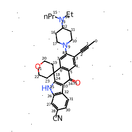 CC#Cc1cc2c(cc1N1CCC(N(CC)CCC)CC1)C1(CCOCC1)c1[nH]c3cc(C#N)ccc3c1C2=O